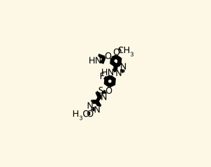 COc1ncc(-c2csc(Oc3ccc(Nc4ncnc5cc(OC)c(OC6CNC6)cc45)c(F)c3)n2)cn1